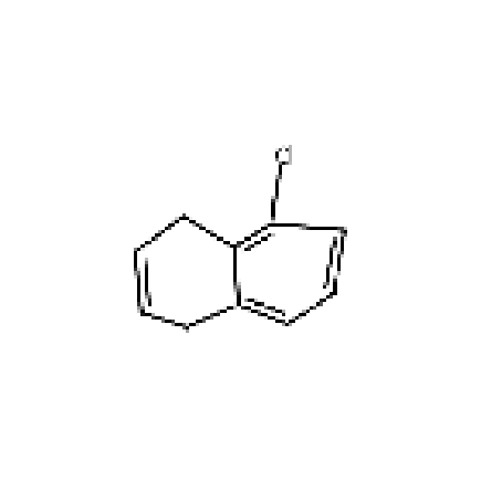 Clc1cccc2c1CC=C[CH]2